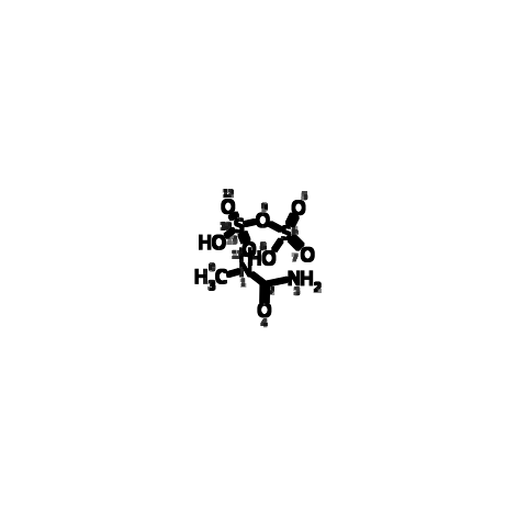 CNC(N)=O.O=S(=O)(O)OS(=O)(=O)O